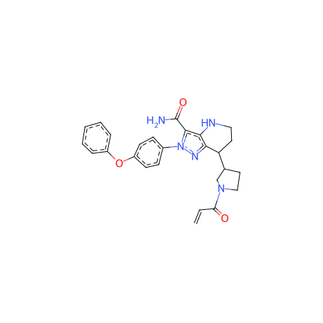 C=CC(=O)N1CCC(C2CCNc3c2nn(-c2ccc(Oc4ccccc4)cc2)c3C(N)=O)C1